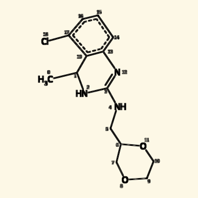 CC1NC(NCC2COCCO2)=Nc2cccc(Cl)c21